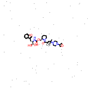 CC(C)(C=C(C#N)C(=O)N1CCCC[C@@H]1COC(=O)N[C@@H](Cc1coc2ccccc12)B(O)O)N1CCN(C2COC2)CC1